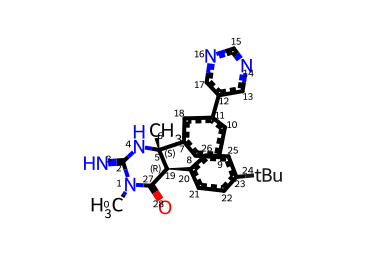 CN1C(=N)N[C@](C)(c2cccc(-c3cncnc3)c2)[C@@H](c2ccc(C(C)(C)C)cc2)C1=O